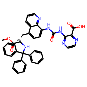 COC(=O)[C@H](Cc1ccc(NC(=O)Nc2nccnc2C(=O)O)c2ncccc12)NC(c1ccccc1)(c1ccccc1)c1ccccc1